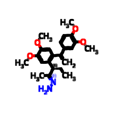 C=C(c1ccc(OC)c(OC)c1)c1cc(OC)c(OC)cc1[C@@H](CC)/C(C)=N/N